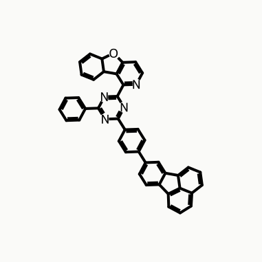 C1=CC2Oc3ccnc(-c4nc(-c5ccccc5)nc(-c5ccc(-c6ccc7c(c6)-c6cccc8cccc-7c68)cc5)n4)c3C2C=C1